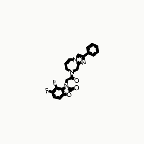 O=C(Cn1c(=O)oc2ccc(F)c(F)c21)N1CC=Cn2cc(-c3ccccc3)nc2C1